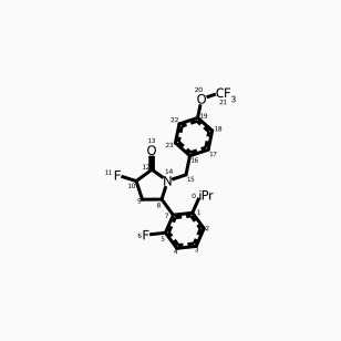 CC(C)c1cccc(F)c1C1CC(F)C(=O)N1Cc1ccc(OC(F)(F)F)cc1